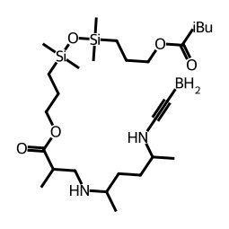 BC#CNC(C)CCC(C)NCC(C)C(=O)OCCC[Si](C)(C)O[Si](C)(C)CCCOC(=O)C(C)CC